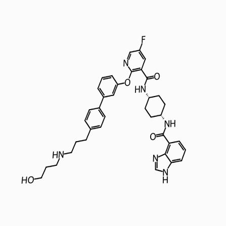 O=C(N[C@H]1CC[C@@H](NC(=O)c2cccc3[nH]cnc23)CC1)c1cc(F)cnc1Oc1cccc(-c2ccc(CCCNCCCO)cc2)c1